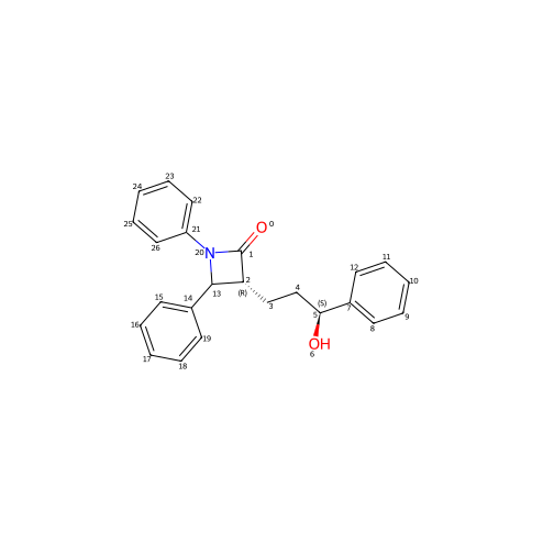 O=C1[C@H](CC[C@H](O)c2ccccc2)C(c2ccccc2)N1c1ccccc1